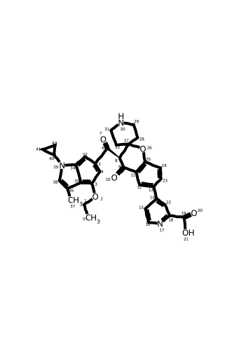 CCOc1cc(C(=O)[C@@H]2C(=O)c3cc(-c4ccnc(C(=O)O)c4)ccc3OC23CCNCC3)cc2c1c(C)cn2C1CC1